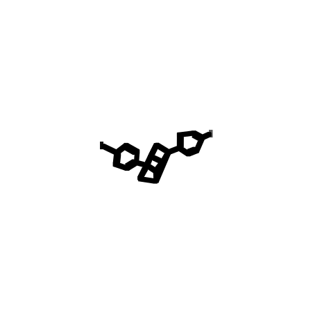 Ic1ccc(C23C4C5C2C2C3C4C52c2ccc(I)cc2)cc1